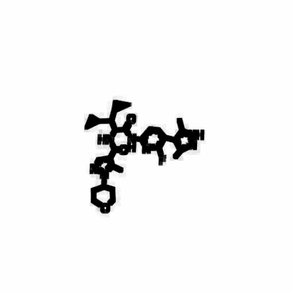 Cc1n[nH]c(C)c1-c1ccc(NC(=O)C(NC(=O)c2cnn(C3CCOCC3)c2C)C(C2CC2)C2CC2)nc1F